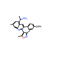 COc1ccc(-c2cc3c(C(C)N)cc(C)cc3nc2-c2c(C)noc2C)cc1